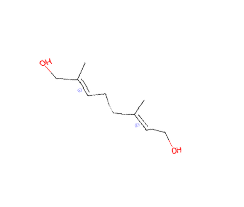 C/C(=C\CC/C(C)=C/CO)CO